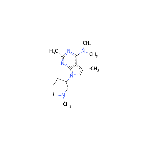 Cc1nc(N(C)C)c2c(C)cn(C3CCCN(C)C3)c2n1